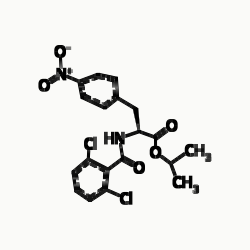 CC(C)OC(=O)[C@H](Cc1ccc([N+](=O)[O-])cc1)NC(=O)c1c(Cl)cccc1Cl